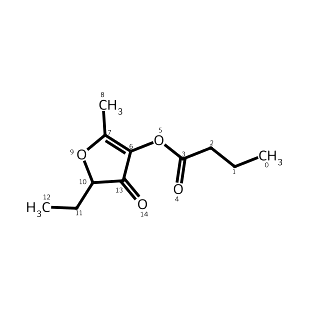 CCCC(=O)OC1=C(C)OC(CC)C1=O